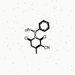 CCCN(c1ccccc1)N1C(=O)CC(C)=C(C#N)C1=O